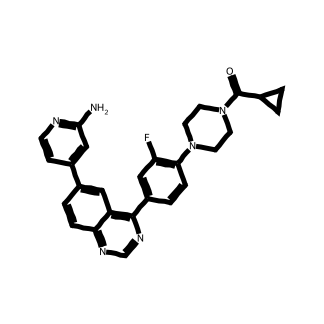 Nc1cc(-c2ccc3ncnc(-c4ccc(N5CCN(C(=O)C6CC6)CC5)c(F)c4)c3c2)ccn1